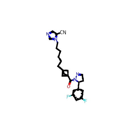 N#Cc1cncn1CCCCCCC12CC(C(=O)N3N=CCC3c3cc(F)cc(F)c3)(C1)C2